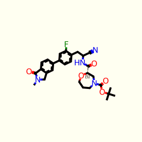 CN1Cc2cc(-c3ccc(CC(C#N)NC(=O)[C@@H]4CN(C(=O)OC(C)(C)C)CCCO4)c(F)c3)ccc2C1=O